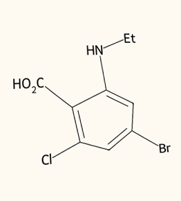 CCNc1cc(Br)cc(Cl)c1C(=O)O